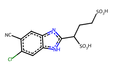 N#Cc1[c]c2nc(C(CCS(=O)(=O)O)S(=O)(=O)O)[nH]c2cc1Cl